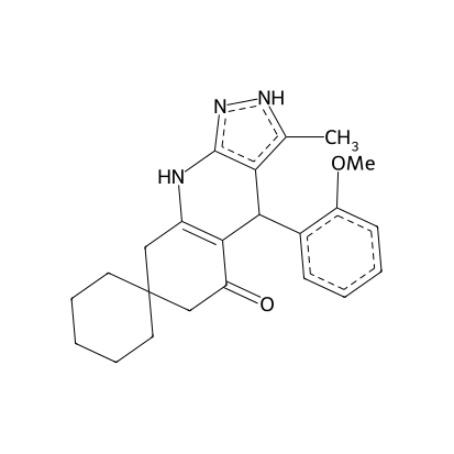 COc1ccccc1C1C2=C(CC3(CCCCC3)CC2=O)Nc2n[nH]c(C)c21